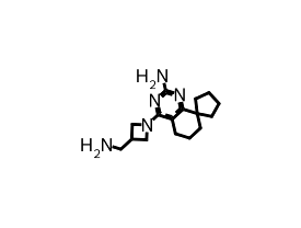 NCC1CN(c2nc(N)nc3c2CCCC32CCCC2)C1